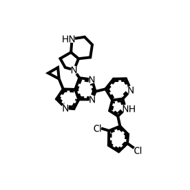 Clc1ccc(Cl)c(-c2cc3c(-c4nc(N5CCC6NCCCC65)c5c(C6CC6)cncc5n4)ccnc3[nH]2)c1